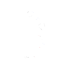 COC(=O)C1CCC(OC(F)(C(=O)Cc2ccc3nc(-c4cccn4C)oc3c2)N2CCCC2)CC1